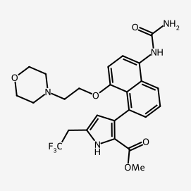 COC(=O)c1[nH]c(CC(F)(F)F)cc1-c1cccc2c(NC(N)=O)ccc(OCCN3CCOCC3)c12